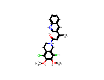 COc1c(Cl)c2c(c(Cl)c1OC)CN(C(=O)C=C(C)c1cnc3ccccc3c1)CC2